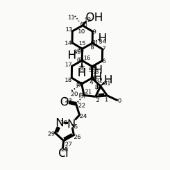 CC1=C2[C@@H]1[C@H]1[C@@H]3CC[C@@H]4C[C@](C)(O)CC[C@@H]4[C@H]3CC[C@]1(C)[C@H]2C(=O)Cn1cc(Cl)cn1